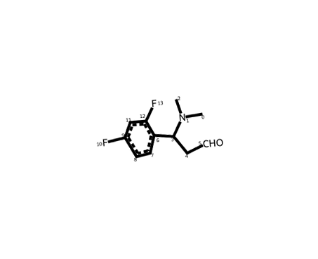 CN(C)C(CC=O)c1ccc(F)cc1F